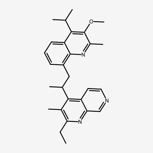 CCc1nc2cnccc2c(C(C)Cc2cccc3c(C(C)C)c(OC)c(C)nc23)c1C